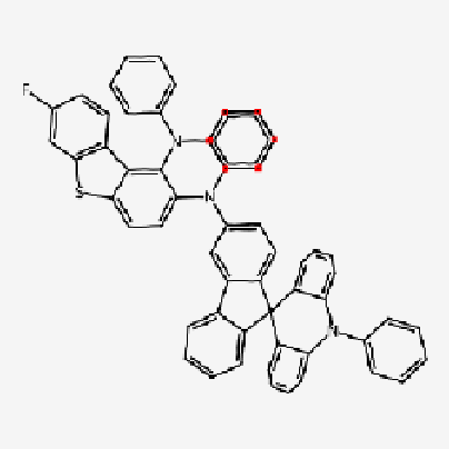 Fc1ccc2c(c1)sc1ccc(N(c3ccccc3)c3ccc4c(c3)-c3ccccc3C43c4ccccc4N(c4ccccc4)c4ccccc43)c(N(c3ccccc3)c3ccccc3)c12